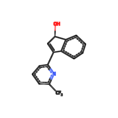 OC1C=C(c2cccc(C(F)(F)F)n2)c2ccccc21